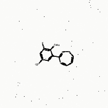 COc1c(C2=NCC=CC=N2)cc(P)cc1C(C)C